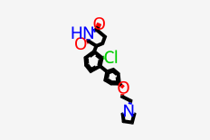 O=C1CCC(c2cccc(-c3ccc(OCCN4CCCC4)cc3)c2Cl)C(=O)N1